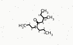 CCCN(CCC)C(=O)C[C](C)CC